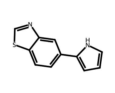 c1c[nH]c(-c2ccc3scnc3c2)c1